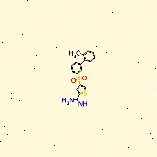 Cc1ccccc1-c1cccc(S(=O)(=O)c2csc(C(=N)N)c2)c1